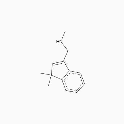 CNCC1=CC(C)(C)c2ccccc21